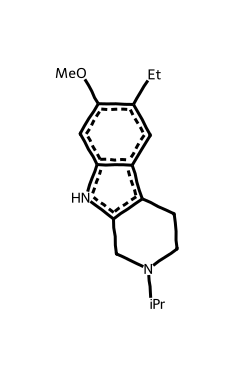 CCc1cc2c3c([nH]c2cc1OC)CN(C(C)C)CC3